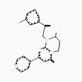 O=C(CN1c2nc(-c3ccncc3)cc(=O)n2CCC1C(F)(F)F)c1cccc(Br)c1